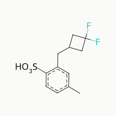 Cc1ccc(S(=O)(=O)O)c(CC2CC(F)(F)C2)c1